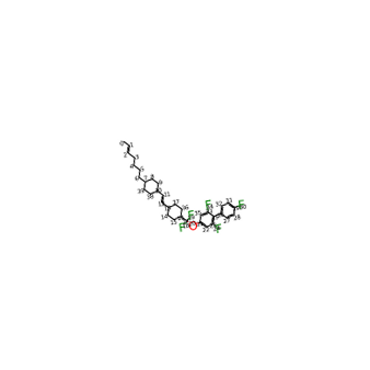 C/C=C/CCCCC1CCC(/C=C/C2CCC(C(F)(F)Oc3cc(F)c(-c4ccc(F)cc4)c(F)c3)CC2)CC1